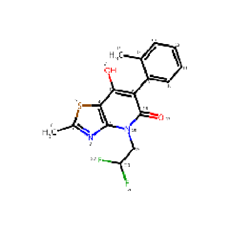 Cc1nc2c(s1)c(O)c(-c1ccccc1C)c(=O)n2CC(F)F